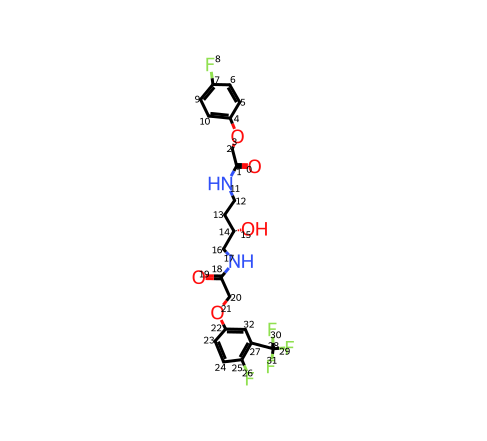 O=C(COc1ccc(F)cc1)NCC[C@H](O)CNC(=O)COc1ccc(F)c(C(F)(F)F)c1